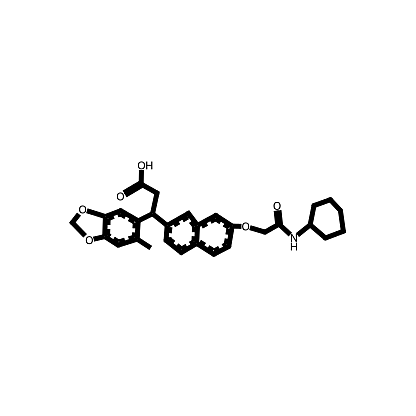 Cc1cc2c(cc1C(CC(=O)O)c1ccc3ccc(OCC(=O)NC4CCCCC4)cc3c1)OCO2